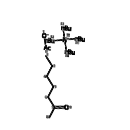 CC(=O)[O-].CCCCCC(C)=O.CCCC[N+](CCCC)(CCCC)CCCC